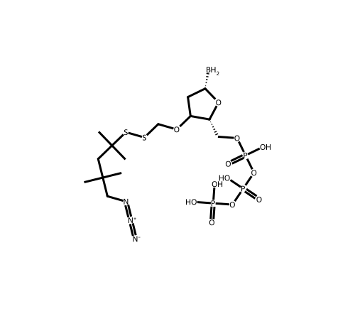 B[C@H]1CC(OCSSC(C)(C)CC(C)(C)CN=[N+]=[N-])[C@@H](COP(=O)(O)OP(=O)(O)OP(=O)(O)O)O1